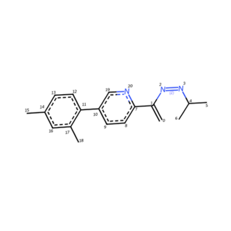 C=C(/N=N\C(C)C)c1ccc(-c2ccc(C)cc2C)cn1